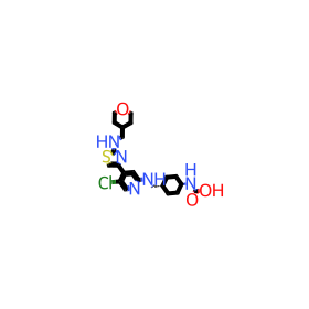 O=C(O)N[C@H]1CC[C@H](CNc2cc(-c3csc(NCC4CCOCC4)n3)c(Cl)cn2)CC1